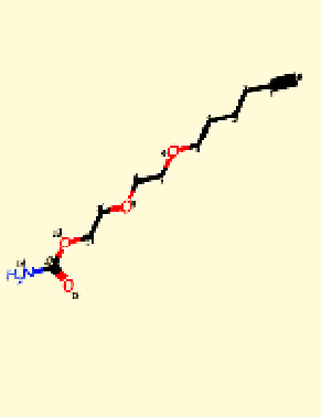 C#CCCCCOCCOCCOC(N)=O